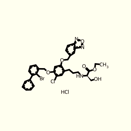 CCOC(=O)[C@@H](CO)NCCCc1cc(Cl)c(OCc2cccc(-c3ccccc3)c2Br)cc1OCc1ccc2nonc2c1.Cl